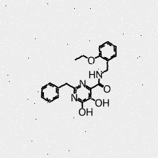 CCOc1ccccc1CNC(=O)c1nc(Cc2ccccc2)nc(O)c1O